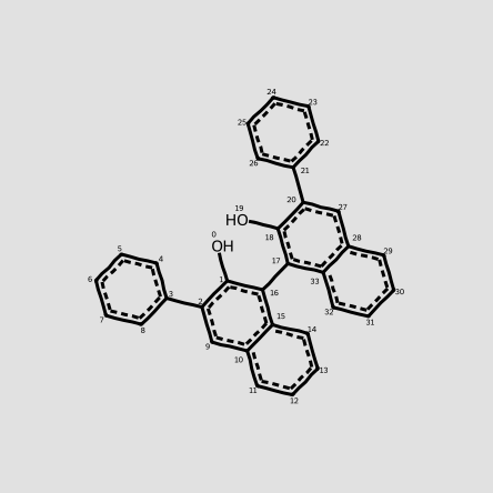 Oc1c(-c2ccccc2)cc2ccccc2c1-c1c(O)c(-c2ccccc2)cc2ccccc12